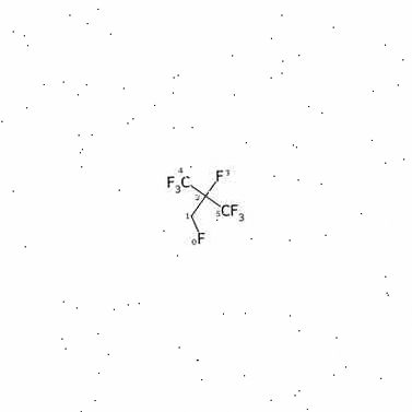 FCC(F)(C(F)(F)F)C(F)(F)F